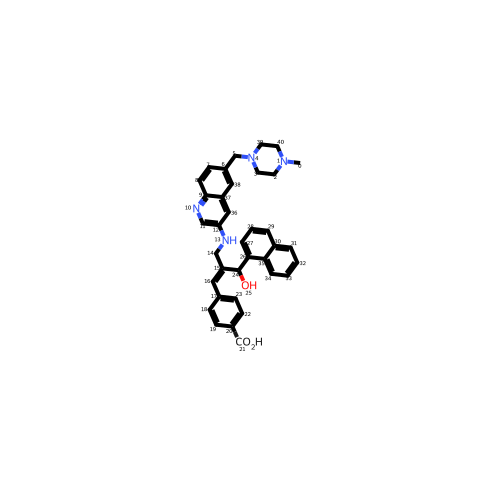 CN1CCN(Cc2ccc3ncc(NCC(=Cc4ccc(C(=O)O)cc4)C(O)c4cccc5ccccc45)cc3c2)CC1